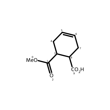 COC(=O)C1CC=CCC1C(=O)O